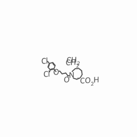 O=C(O)[C]1CCCCCN(C(=O)CCCOc2ccc(Cl)cc2Cl)CC1.[CH2].[CH2]